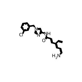 C=CC(/C=C/C(=O)Nc1cn(Cc2cccc(Cl)c2)cn1)=C\C=C/N